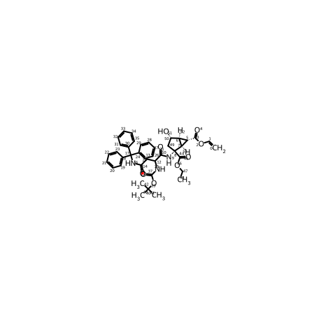 C=COC(=O)[C@H]1[C@H]2[C@@H]1[C@@](NC(=O)C(CC(=O)NC(c1ccccc1)(c1ccccc1)c1ccccc1)NC(=O)OC(C)(C)C)(C(=O)OCC)C[C@@H]2O